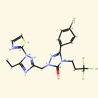 CCc1nc(Cn2nc(-c3ccc(Cl)cc3)n(CCC(F)(F)F)c2=O)nn1-c1nccs1